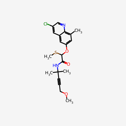 COCC#CC(C)(C)NC(=O)C(Oc1cc(C)c2ncc(Cl)cc2c1)SC